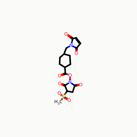 CS(=O)(=O)C1CC(=O)N(OC(=O)C2CCC(CN3C(=O)C=CC3=O)CC2)C1=O